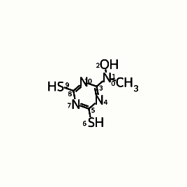 CN(O)c1nc(S)nc(S)n1